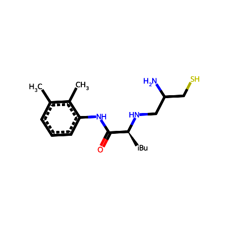 CCC(C)[C@H](NCC(N)CS)C(=O)Nc1cccc(C)c1C